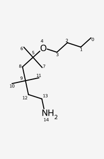 CCCCOC(C)(C)CC(C)(C)CCN